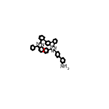 Nc1cccc(-c2ccc(-c3nc(-c4ccccc4)nc(-c4ccccc4-c4cccc(-c5ccccc5-c5nc(-c6ccccc6)c6ccccc6n5)c4)n3)cc2)c1